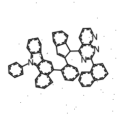 C1=C(c2ccccc2-c2cc3c4ccccc4n(-c4ccccc4)c3c3ccccc23)C(c2nc(-c3cccc4ccccc34)nc3ncccc23)c2ccccc21